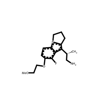 COCCOc1ccc2c(c1F)c([C@H](C)CN)c1n2CCC1